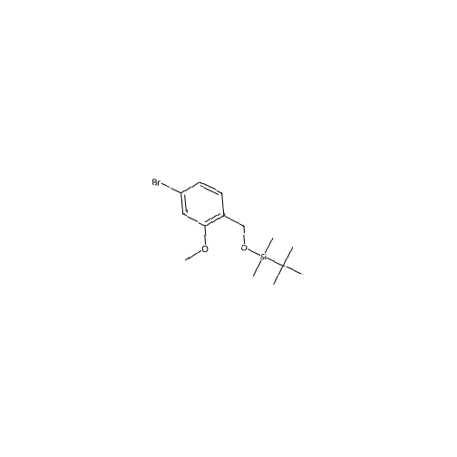 COc1cc(Br)ccc1CO[Si](C)(C)C(C)(C)C